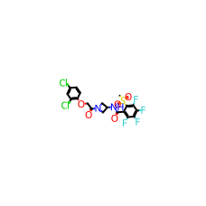 CS(=O)(=O)c1c(F)c(F)c(F)c(F)c1C(=O)NC1CN(C(=O)COc2ccc(Cl)cc2Cl)C1